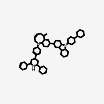 CC1C/C=C\CN(C2CC=C(C3CC(C4CC=CCC4)NC(C4CCCCC4)C3)CC2)C2CCC(C3CCC4C(C3)C3CCCCC3N4C3CCC(C4CCCCC4)CC3)CC12